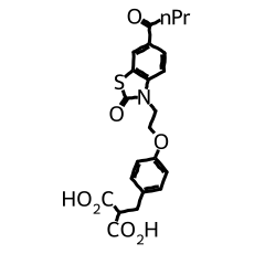 CCCC(=O)c1ccc2c(c1)sc(=O)n2CCOc1ccc(CC(C(=O)O)C(=O)O)cc1